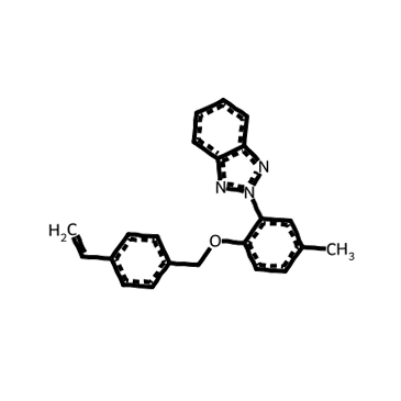 C=Cc1ccc(COc2ccc(C)cc2-n2nc3ccccc3n2)cc1